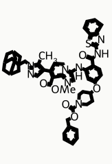 COC(=O)c1c(-c2cnn(CC34CC5CC(CC(C5)C3)C4)c2C)ccn2c(Nc3cc(OC4CCN(C(=O)OCc5ccccc5)CC4)ccc3C(=O)Nc3nc4ccccc4s3)cnc12